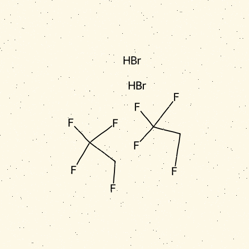 Br.Br.FCC(F)(F)F.FCC(F)(F)F